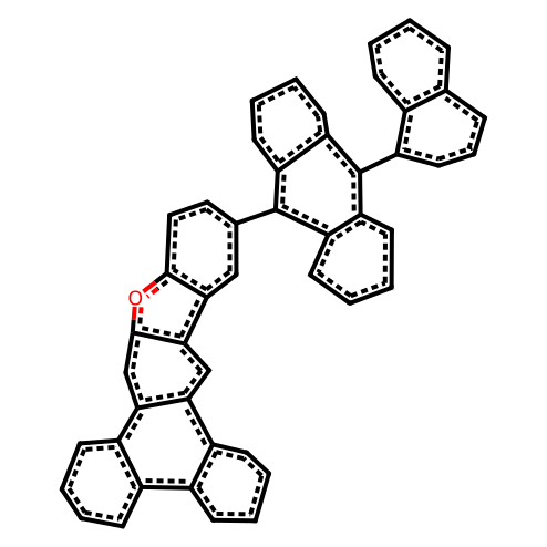 c1ccc2c(-c3c4ccccc4c(-c4ccc5oc6cc7c8ccccc8c8ccccc8c7cc6c5c4)c4ccccc34)cccc2c1